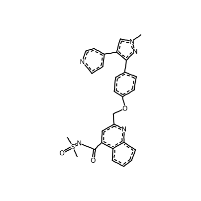 Cn1cc(-c2ccncc2)c(-c2ccc(OCc3cc(C(=O)N=S(C)(C)=O)c4ccccc4n3)cc2)n1